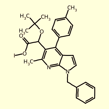 Cc1ccc(-c2c(C(OC(C)(C)C)C(=O)OI)c(C)nc3c2ccn3Cc2ccccc2)cc1